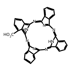 O=C(O)c1cccc2c3nc4nc(nc5[nH]c(nc6nc(nc([nH]3)c12)-c1ccccc1-6)c1ccccc51)-c1ccccc1-4